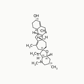 CC1=C2C[C@H]3[C@@H](CCC4=C[C@@H](O)CC[C@@]43C)[C@@H]2CC[C@@]2(C1)O[C@@H]1C[C@H](C)CN(C)[C@H]1[C@H]2C